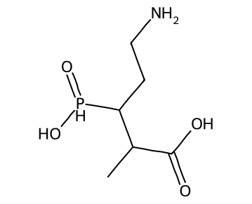 CC(C(=O)O)C(CCN)[PH](=O)O